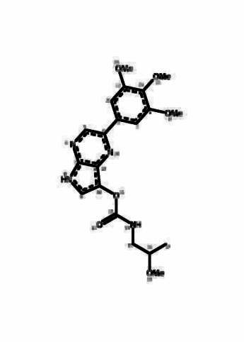 COc1cc(-c2cnc3[nH]cc(OC(=O)NCC(C)OC)c3n2)cc(OC)c1OC